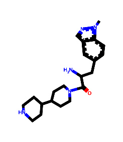 Cn1ncc2cc(CC(N)C(=O)N3CCC(C4CCNCC4)CC3)ccc21